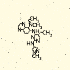 C=Cc1cnc(Nc2cnn(C)c2)nc1Nc1ccc2nccnc2c1N(C)SC